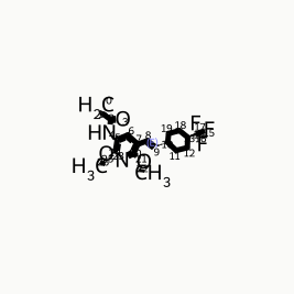 C=CC(=O)Nc1cc(/C=C/[C@H]2CC[C@H](C(F)(F)F)CC2)c(OC)nc1OC